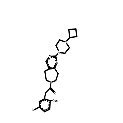 COc1ccc(Br)cc1CC(=O)N1CCc2cnc(N3CCN(C4CCC4)CC3)nc2CC1